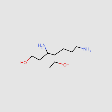 CCO.NCCCCC(N)CCO